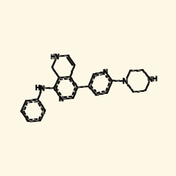 C1=Cc2c(-c3ccc(N4CCNCC4)nc3)cnc(Nc3ccccc3)c2CN1